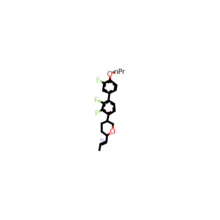 C/C=C/C1CCC(c2ccc(-c3ccc(OCCC)c(F)c3)c(F)c2F)CO1